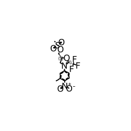 Cc1cc(N2C[C@@H](COS(C)(=O)=O)O[C@@H]2C(F)(F)F)ccc1[N+](=O)[O-]